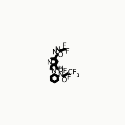 O=C1c2cc(-c3nnc(C(F)F)o3)cnc2CN1[C@@H]1CCCC[C@H]1NC(=O)C(F)(F)C(F)(F)F